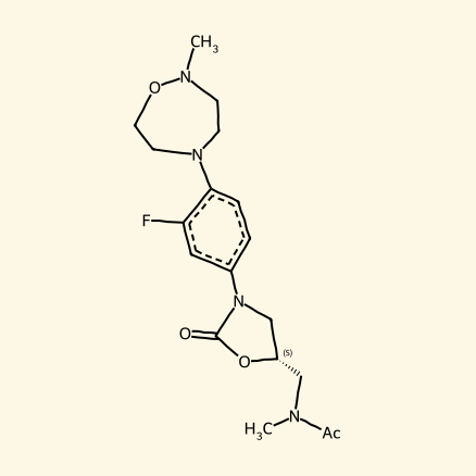 CC(=O)N(C)C[C@H]1CN(c2ccc(N3CCON(C)CC3)c(F)c2)C(=O)O1